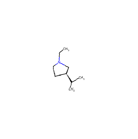 CCN1CC[C@H](C(C)C)C1